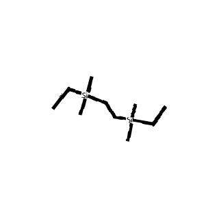 CC[Si](C)(C)CC[Si](C)(C)CC